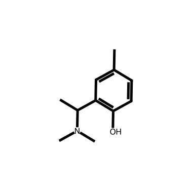 Cc1ccc(O)c(C(C)N(C)C)c1